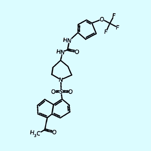 CC(=O)c1cccc2c(S(=O)(=O)N3CCC(NC(=O)Nc4ccc(OC(F)(F)F)cc4)CC3)cccc12